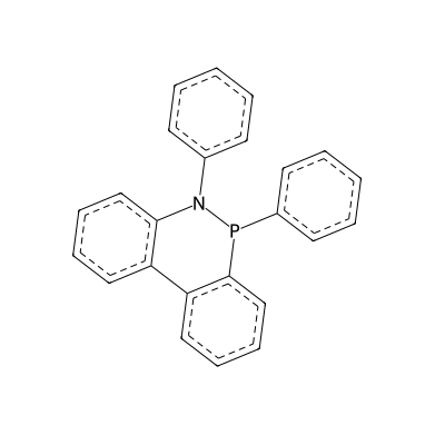 c1ccc(N2c3ccccc3-c3ccccc3P2c2ccccc2)cc1